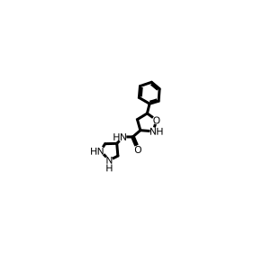 O=C(NC1CNNC1)C1CC(c2ccccc2)ON1